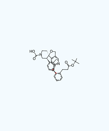 COc1cc2c(cn1)CO[C@@]21CCN(C(=O)O)C[C@@H]1c1ccc(-c2ccccc2CCC(=O)OC(C)(C)C)cc1C